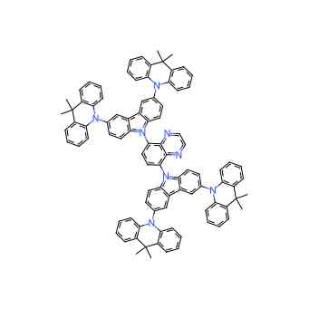 CC1(C)c2ccccc2N(c2ccc3c(c2)c2cc(N4c5ccccc5C(C)(C)c5ccccc54)ccc2n3-c2ccc(-n3c4ccc(N5c6ccccc6C(C)(C)c6ccccc65)cc4c4cc(N5c6ccccc6C(C)(C)c6ccccc65)ccc43)c3nccnc23)c2ccccc21